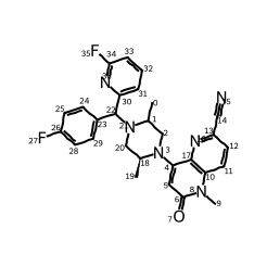 CC1CN(c2cc(=O)n(C)c3ccc(C#N)nc23)[C@@H](C)CN1C(c1ccc(F)cc1)c1cccc(F)n1